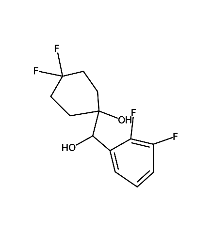 OC(c1cccc(F)c1F)C1(O)CCC(F)(F)CC1